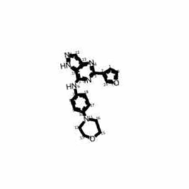 c1cc(-c2nc(Nc3ccc(N4CCOCC4)cc3)c3[nH]ncc3n2)co1